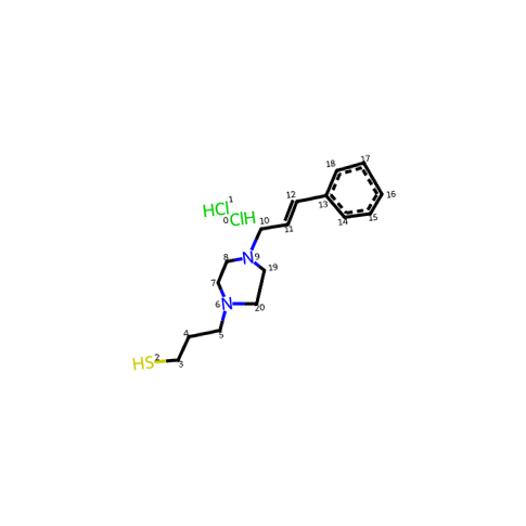 Cl.Cl.SCCCN1CCN(CC=Cc2ccccc2)CC1